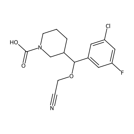 N#CCOC(c1cc(F)cc(Cl)c1)C1CCCN(C(=O)O)C1